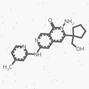 Cc1ccnc(Nc2cc3cc(C4(CO)CCCC4)n(N)c(=O)c3cn2)c1